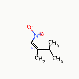 C/C(=C/[N+](=O)[O-])C(C)C